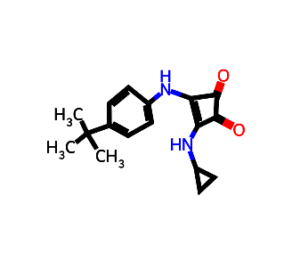 CC(C)(C)c1ccc(Nc2c(NC3CC3)c(=O)c2=O)cc1